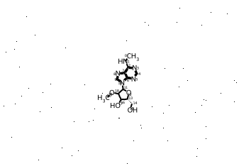 CNc1ncnc2c1ncn2C1O[C@H](CO)C(O)C1OC